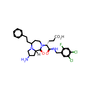 N[C@@H]1C[C@H]2C(=O)N([C@H](CCC(=O)O)C(=O)NCc3cc(Cl)c(Cl)cc3F)CCC(CCc3ccccc3)N2C1